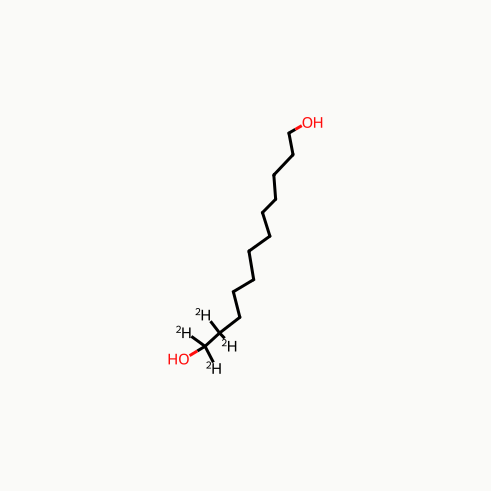 [2H]C([2H])(O)C([2H])([2H])CCCCCCCCCCO